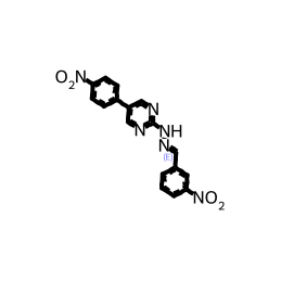 O=[N+]([O-])c1ccc(-c2cnc(N/N=C/c3cccc([N+](=O)[O-])c3)nc2)cc1